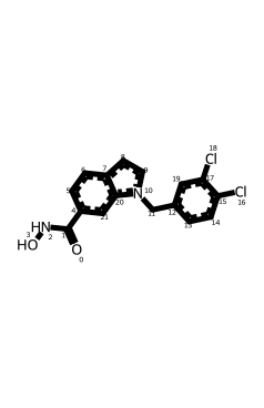 O=C(NO)c1ccc2ccn(Cc3ccc(Cl)c(Cl)c3)c2c1